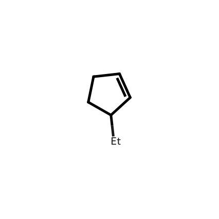 CCC1C=CCC1